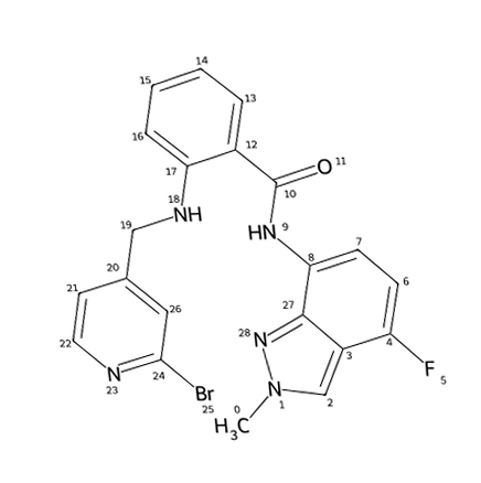 Cn1cc2c(F)ccc(NC(=O)c3ccccc3NCc3ccnc(Br)c3)c2n1